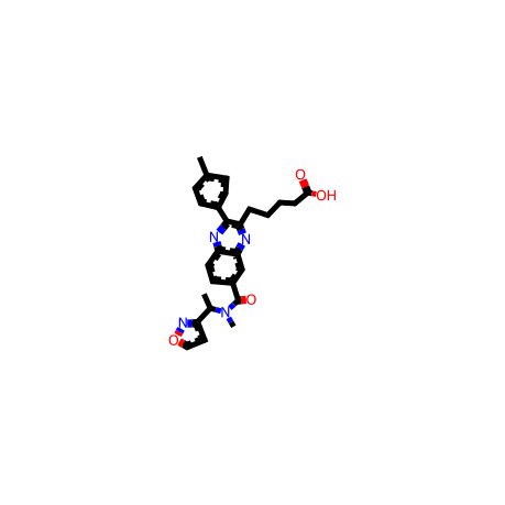 Cc1ccc(-c2nc3ccc(C(=O)N(C)C(C)c4ccon4)cc3nc2CCCCC(=O)O)cc1